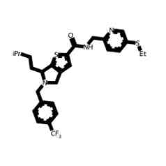 CCSc1ccc(CNC(=O)c2cc3c(s2)C(CCC(C)C)N(Cc2ccc(C(F)(F)F)cc2)C3)nc1